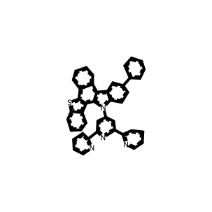 c1ccc(-c2ccc3c(c2)c2c4ccccc4c4sc5ccccc5c4c2n3-c2cc(-c3ccccn3)nc(-c3ccccn3)c2)cc1